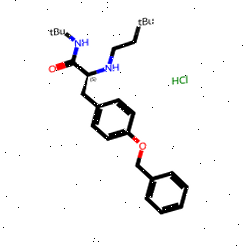 CC(C)(C)CCN[C@@H](Cc1ccc(OCc2ccccc2)cc1)C(=O)NC(C)(C)C.Cl